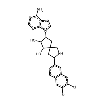 Nc1ncnc2c1ccn2C1CC2(CNC(c3ccc4cc(Br)c(Cl)nc4c3)C2)C(O)C1O